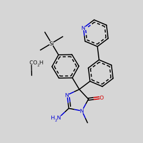 CC(=O)O.CN1C(=O)C(c2ccc([Si](C)(C)C)cc2)(c2cccc(-c3cccnc3)c2)N=C1N